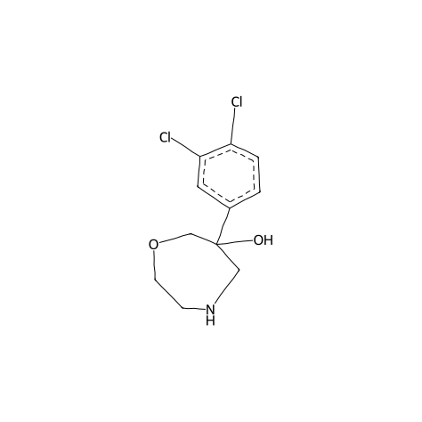 OC1(c2ccc(Cl)c(Cl)c2)CNCCOC1